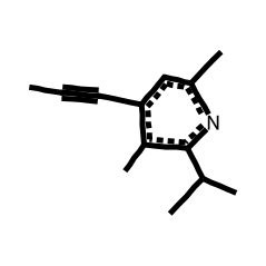 CC#Cc1cc(C)nc(C(C)C)c1C